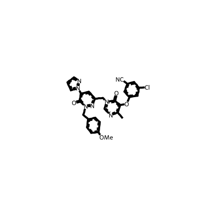 COc1ccc(Cn2nc(Cn3cnc(C)c(Oc4cc(Cl)cc(C#N)c4)c3=O)cc(-n3cccn3)c2=O)cc1